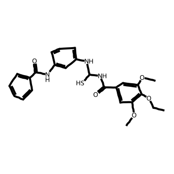 CCOc1c(OC)cc(C(=O)NC(S)Nc2cccc(NC(=O)c3ccccc3)c2)cc1OC